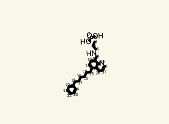 O=P(O)(O)CCCNCc1ccc(CCCCCCc2ccccc2)c2cccnc12